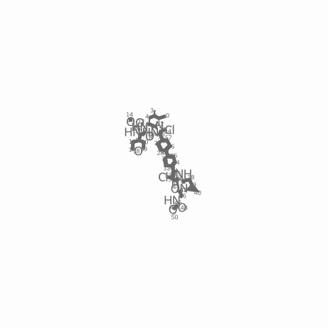 CC[C@H](C)C[C@H](NC(=O)[C@@H](NC(=O)OC)C1CCOCC1)c1nc(Cl)c(-c2ccc(-c3ccc(-c4[nH]c([C@@H]5CC6CC6N5C(=O)CNC(=O)OC)nc4Cl)cc3)cc2)[nH]1